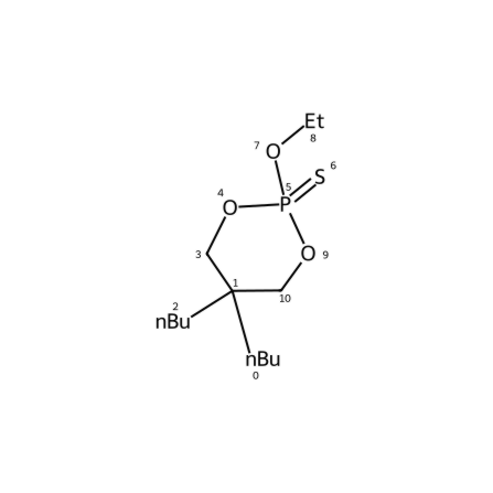 CCCCC1(CCCC)COP(=S)(OCC)OC1